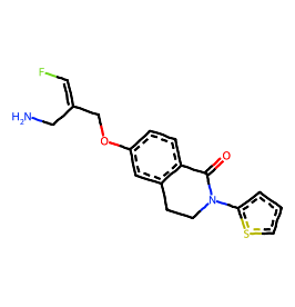 NC/C(=C\F)COc1ccc2c(c1)CCN(c1cccs1)C2=O